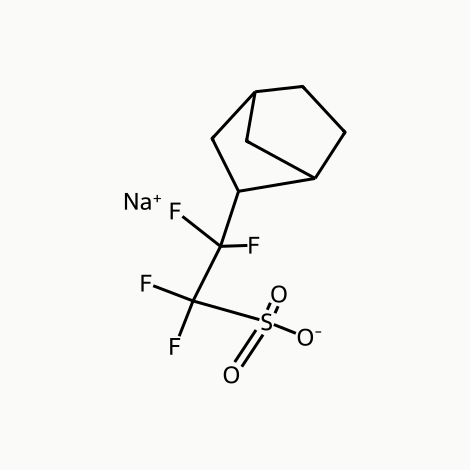 O=S(=O)([O-])C(F)(F)C(F)(F)C1CC2CCC1C2.[Na+]